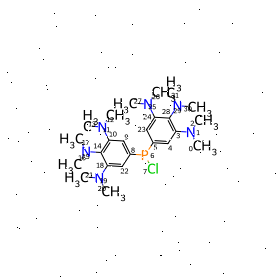 CN(C)c1cc(P(Cl)c2cc(N(C)C)c(N(C)C)c(N(C)C)c2)cc(N(C)C)c1N(C)C